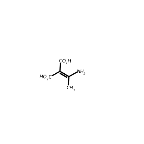 CC(N)=C(C(=O)O)C(=O)O